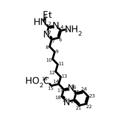 CCNc1nc(N)cc(CCCCCCC(CC(=O)O)c2cnc3ccccc3n2)n1